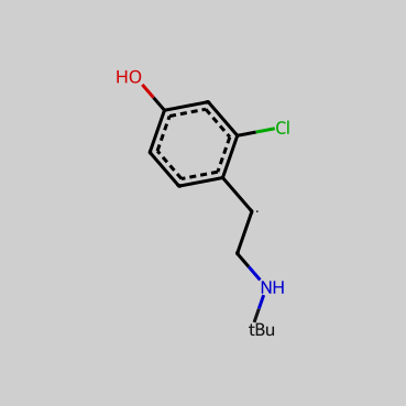 CC(C)(C)NC[CH]c1ccc(O)cc1Cl